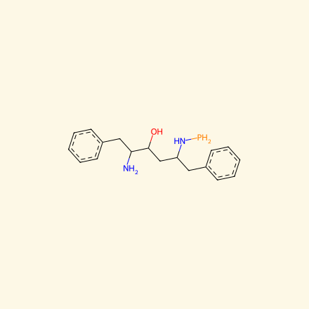 NC(Cc1ccccc1)C(O)CC(Cc1ccccc1)NP